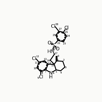 C=C1CCCC2Nc3c(Cl)cc(Cl)cc3C12CCNS(=O)(=O)c1ccc(Cl)c(Cl)c1